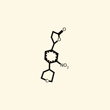 O=C1CCC(c2ccc(C3CCCCC3)c([N+](=O)[O-])c2)O1